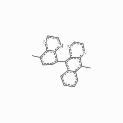 Cc1ccc(-c2c3ccccc3c(C)c3nccnc23)c2nccnc12